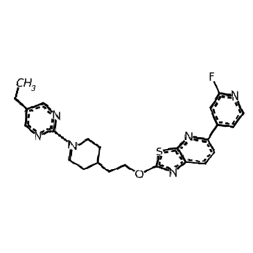 CCc1cnc(N2CCC(CCOc3nc4ccc(-c5ccnc(F)c5)nc4s3)CC2)nc1